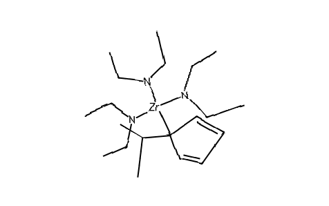 CC[N](CC)[Zr]([N](CC)CC)([N](CC)CC)[C]1(C(C)C)C=CC=C1